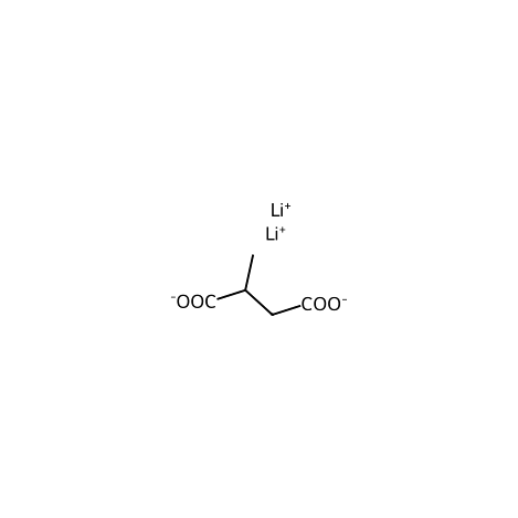 CC(CC(=O)[O-])C(=O)[O-].[Li+].[Li+]